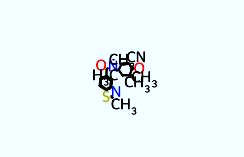 Cc1nc2cc(C(=O)N(C)[C@]3(C)C=C(C#N)C(=O)C(C)(C)C3)ccc2s1